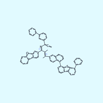 C=C=C(/N=C(\C(C)=C(/C)c1ccc2c(-c3cccc4c3sc3c(-c5ccccc5)cccc34)cccc2c1)c1ccc2c(c1)oc1ccccc12)c1cccc(-c2ccccc2)c1